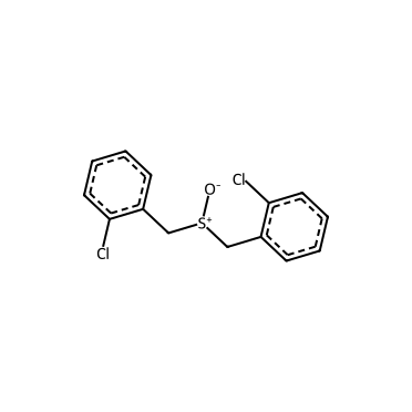 [O-][S+](Cc1ccccc1Cl)Cc1ccccc1Cl